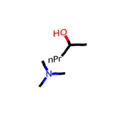 CCCC(C)O.CN(C)C